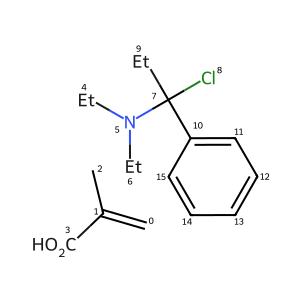 C=C(C)C(=O)O.CCN(CC)C(Cl)(CC)c1ccccc1